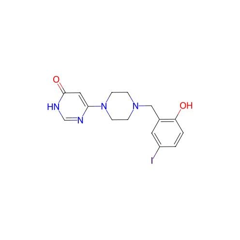 O=c1cc(N2CCN(Cc3cc(I)ccc3O)CC2)nc[nH]1